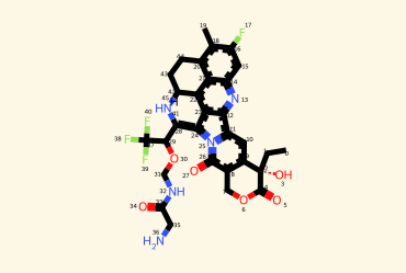 CC[C@@]1(O)C(=O)OCc2c1cc1c3nc4cc(F)c(C)c5c4c4c3c(n1c2=O)=C(C(OCNC(=O)CN)C(F)(F)F)N[C@H]4CC5